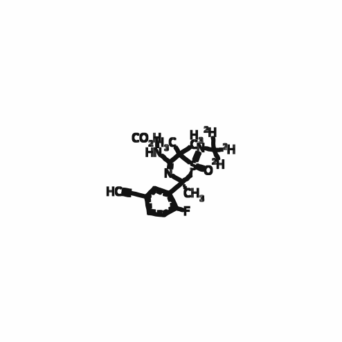 [2H]C([2H])([2H])N=[S@@]1(=O)C[C@@](C)(c2cc(C#C)ccc2F)N=C(NC(=O)O)C1(C)C